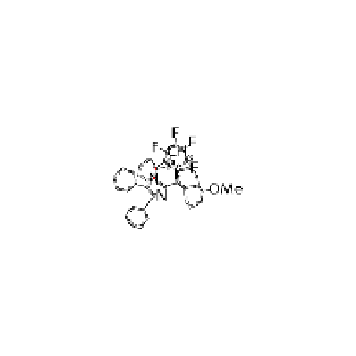 COc1cccc2c(-c3nc(-c4ccccc4)c(-c4ccccc4)n3Cc3c(F)c(F)c(F)c(F)c3F)c(P(C)c3ccccc3)ccc12